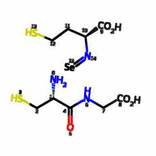 N[C@@H](CS)C(=O)NCC(=O)O.O=C(O)[C@H](CCS)N=[Se]